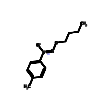 CCCCO/N=[N+](\[O-])c1ccc(C)cc1